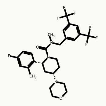 Cc1cc(F)ccc1[C@H]1C[C@@H](N2CCOCC2)CCN1C(=O)N(C)Cc1cc(C(F)(F)F)cc(C(F)(F)F)c1